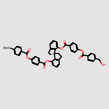 COc1ccc(C(=O)Oc2ccc(C(=O)Oc3cccc4c3[C@]3(CCc5cccc(OC(=O)c6ccc(OC(=O)c7ccc(CO)cc7)cc6)c53)CC4)cc2)cc1